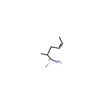 C/C=C\CC(C)[C@@H](C)N